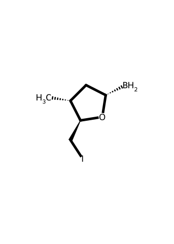 B[C@H]1C[C@@H](C)[C@H](CI)O1